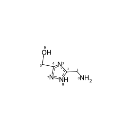 NCc1nc(CO)n[nH]1